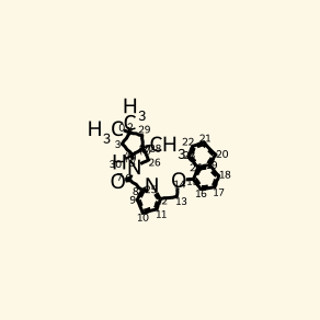 CC1(C)C[C@H]2N(C(=O)c3cccc(COc4cccc5ccccc45)n3)C[C@@]2(C)C1